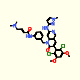 COc1cc(OC)c(Cl)c(-c2cc3cnc(Nc4ccn(C)n4)cc3n(Cc3cccc(NC(=O)/C=C/CN(C)C)c3)c2=O)c1Cl